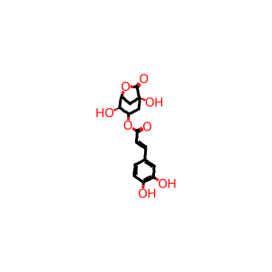 O=C(/C=C/c1ccc(O)c(O)c1)OC1C[C@]2(O)CC(OC2=O)[C@@H]1O